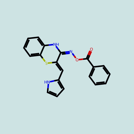 O=C(ON=C1Nc2ccccc2SC1=Cc1ccc[nH]1)c1ccccc1